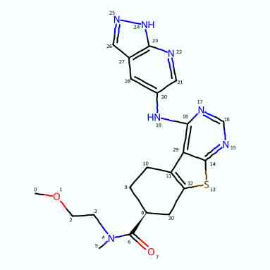 COCCN(C)C(=O)[C@H]1CCc2c(sc3ncnc(Nc4cnc5[nH]ncc5c4)c23)C1